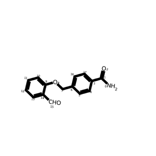 NC(=O)c1ccc(COc2ccccc2C=O)cc1